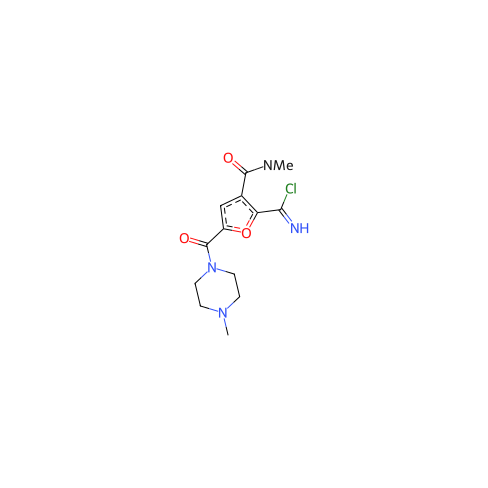 CNC(=O)c1cc(C(=O)N2CCN(C)CC2)oc1C(=N)Cl